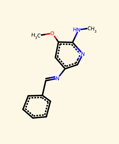 CNc1ncc(N=Cc2ccccc2)cc1OC